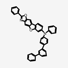 c1ccc(-c2cccc(-c3ccc(N(c4ccccc4)c4ccc5c(c4)oc4cc6nc(-c7ccccc7)oc6cc45)cc3)c2)cc1